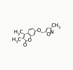 Cc1cc(COc2ccc3c(C)c(C)c(=O)oc3c2)on1